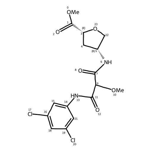 COC(=O)[C@H]1C[C@@H](NC(=O)C(OC)C(=O)Nc2cc(Cl)cc(Cl)c2)CO1